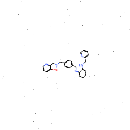 Oc1cccnc1CNCc1ccc(CNC2CCCCC2NCc2ccccn2)cc1